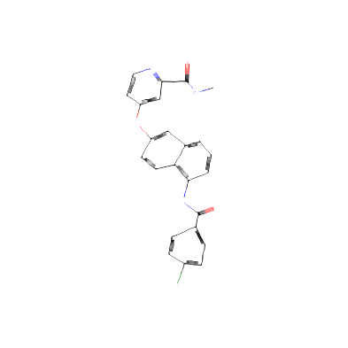 CNC(=O)c1cc(Oc2ccc3c(NC(=O)c4ccc(Cl)cc4)cccc3c2)ccn1